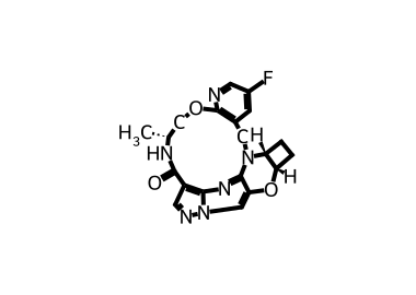 C[C@@H]1COc2ncc(F)cc2CN2c3nc4c(cnn4cc3O[C@H]3CC[C@H]32)C(=O)N1